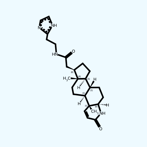 C[C@]12C=CC(=O)N[C@@H]1CC[C@@H]1[C@@H]2CC[C@]2(C)[C@@H](CC(=O)NCCc3ncc[nH]3)CC[C@@H]12